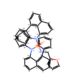 O=P1(NCc2ccco2)N(c2cccc3cccc(-c4ccccc4)c23)c2ccccc2N1c1cccc2cccc(-c3ccccc3)c12